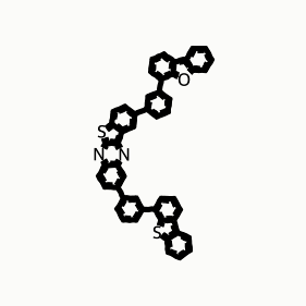 c1cc(-c2ccc3sc4nc5ccc(-c6cccc(-c7cccc8c7sc7ccccc78)c6)cc5nc4c3c2)cc(-c2cccc3c2oc2ccccc23)c1